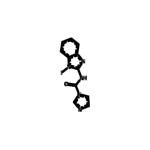 O=C(Nc1nc2ccccc2n1I)n1ccnc1